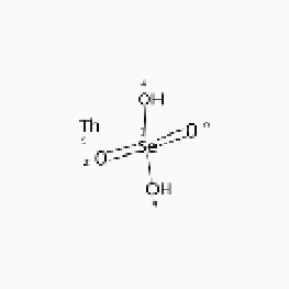 O=[Se](=O)(O)O.[Th]